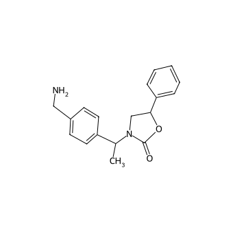 CC(c1ccc(CN)cc1)N1CC(c2ccccc2)OC1=O